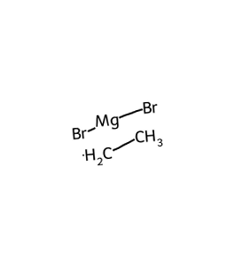 [Br][Mg][Br].[CH2]C